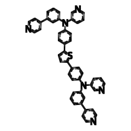 c1cncc(N(c2ccc(-c3ccc(-c4ccc(N(c5cccnc5)c5cccc(-c6ccncc6)c5)cc4)s3)cc2)c2cccc(-c3ccncc3)c2)c1